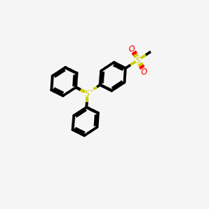 CS(=O)(=O)c1ccc([S+](c2ccccc2)c2ccccc2)cc1